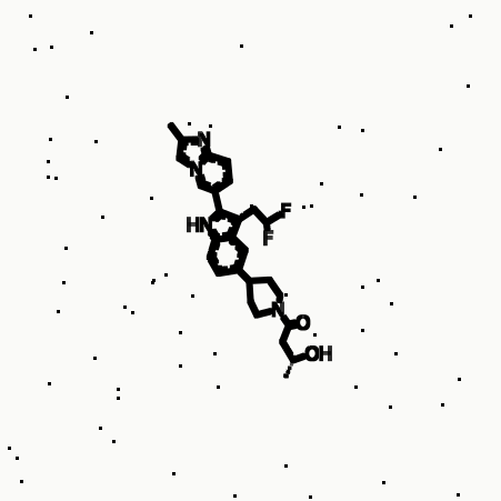 Cc1cn2cc(-c3[nH]c4ccc(C5CCN(C(=O)C[C@@H](C)O)CC5)cc4c3CC(F)F)ccc2n1